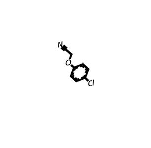 N#CCOc1[c]cc(Cl)cc1